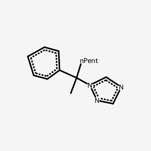 CCCCCC(C)(c1ccccc1)n1cncn1